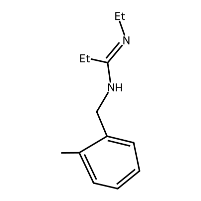 CC/N=C(\CC)NCc1ccccc1C